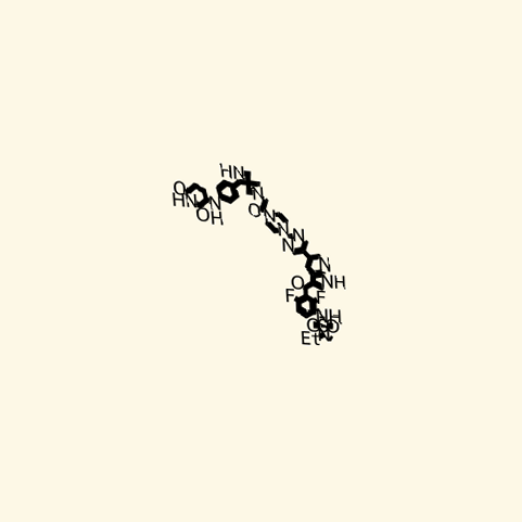 CCN(C)S(=O)(=O)Nc1ccc(F)c(C(=O)c2c[nH]c3ncc(-c4cnc(N5CCN(C(=O)CN6CC7(CNC7c7ccc(NC8CCC(=O)NC8=O)cc7)C6)CC5)nc4)cc23)c1F